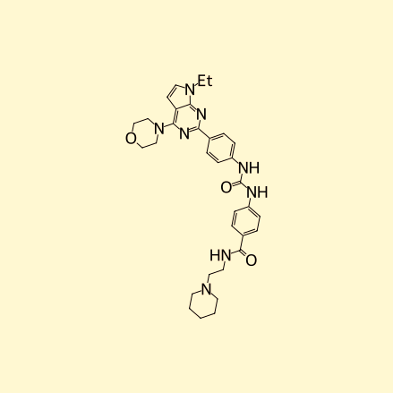 CCn1ccc2c(N3CCOCC3)nc(-c3ccc(NC(=O)Nc4ccc(C(=O)NCCN5CCCCC5)cc4)cc3)nc21